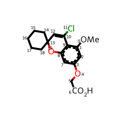 COc1cc(OCC(=O)O)cc2c1C(Cl)=CC1(CCCCC1)O2